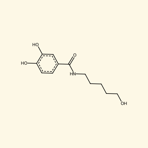 O=C(NCCCCCO)c1ccc(O)c(O)c1